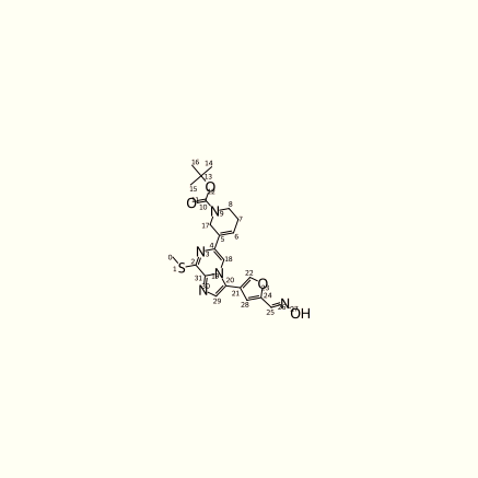 CSc1nc(C2=CCCN(C(=O)OC(C)(C)C)C2)cn2c(-c3coc(/C=N/O)c3)cnc12